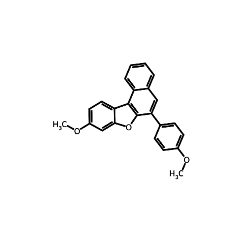 COc1ccc(-c2cc3ccccc3c3c2oc2cc(OC)ccc23)cc1